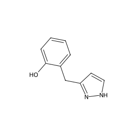 Oc1ccccc1Cc1cc[nH]n1